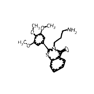 COc1cc(-c2nc3ccccc3c(=O)n2CCCN)cc(OC)c1OC